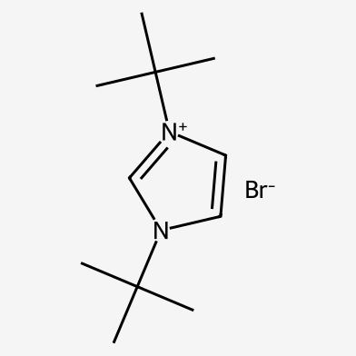 CC(C)(C)n1cc[n+](C(C)(C)C)c1.[Br-]